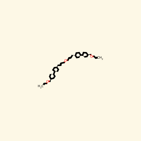 C=CCOC[C@H]1CC[C@H]([C@H]2CC[C@H](CC=CCOCC=CC[C@H]3CC[C@H]([C@H]4CC[C@H](COCC=C)CC4)CC3)CC2)CC1